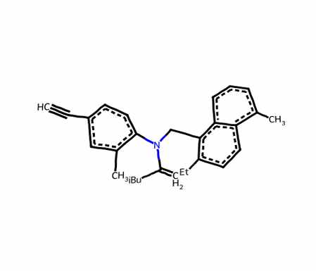 C#Cc1ccc(N(Cc2c(CC)ccc3c(C)cccc23)C(=C)C(C)CC)c(C)c1